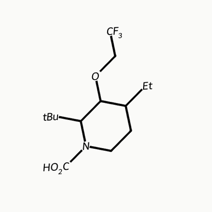 CCC1CCN(C(=O)O)C(C(C)(C)C)C1OCC(F)(F)F